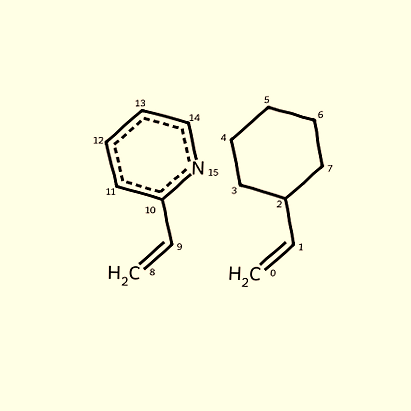 C=CC1CCCCC1.C=Cc1ccccn1